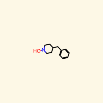 ON1CCC(Cc2ccccc2)CC1